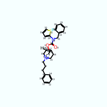 O=C(O[C@H]1C[N+]2(CCCc3ccccc3)CCC1CC2)N(Cc1ccccc1F)c1cccs1